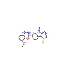 COc1cccc([C@@H](C)NC(=O)c2ccc3c(c2)[nH]c2cncc(F)c23)c1